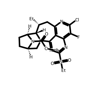 CC[C@@H]1Cc2nc(Cl)c(F)c3nc(S(=O)(=O)CC)nc(c23)N2C[C@H]3CC[C@@H]([C@H]12)N3C(=O)OC(C)(C)C